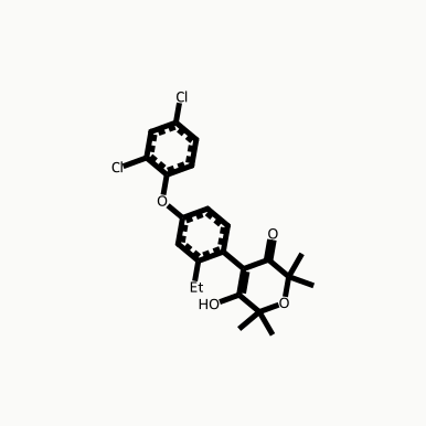 CCc1cc(Oc2ccc(Cl)cc2Cl)ccc1C1=C(O)C(C)(C)OC(C)(C)C1=O